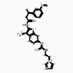 COc1cccc(C(C)CC(=O)Nc2sc3c(c2N)CCC(OC(=O)NCCn2ccnc2)C3)c1